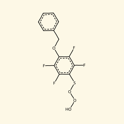 OOOSc1c(F)c(F)c(OCc2ccccc2)c(F)c1F